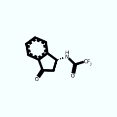 O=C1C[C@@H](NC(=O)C(F)(F)F)c2ccccc21